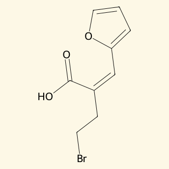 O=C(O)C(=Cc1ccco1)CCBr